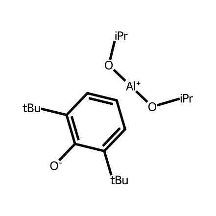 CC(C)(C)c1cccc(C(C)(C)C)c1[O-].CC(C)[O][Al+][O]C(C)C